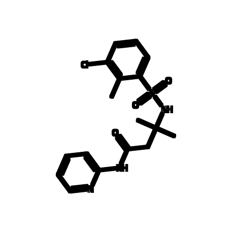 Cc1c(Cl)cccc1S(=O)(=O)NC(C)(C)CC(=O)Nc1ccccn1